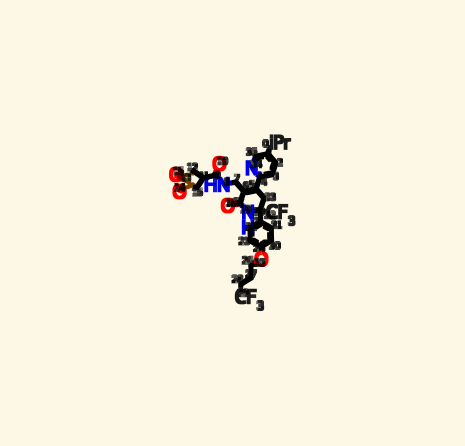 CC(C)c1ccc(C2=C(CNC(=O)C3CS(=O)(=O)C3)C(=O)N[C@@](c3ccc(OCCCC(F)(F)F)cc3)(C(F)(F)F)C2)nc1